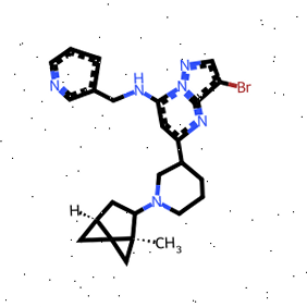 C[C@]12CC13C[C@H]3CC2N1CCCC(c2cc(NCc3cccnc3)n3ncc(Br)c3n2)C1